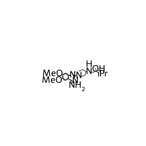 COc1cc2nc(N3CCC(NCC(O)C(C)C)CC3)nc(N)c2cc1OC